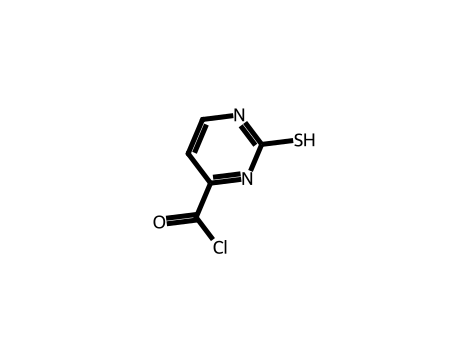 O=C(Cl)c1ccnc(S)n1